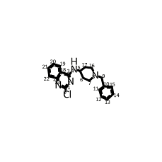 Clc1nc(NC2CCN(Cc3ccccc3)CC2)c2ccccc2n1